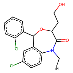 CC(C)CN1C(=O)C(CCO)OC(c2ccccc2Cl)c2cc(Cl)ccc21